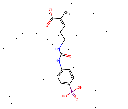 CC(=CCCNC(=O)Nc1ccc(P(=O)(O)O)cc1)C(=O)O